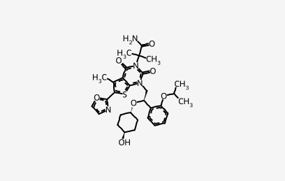 Cc1c(-c2ncco2)sc2c1c(=O)n(C(C)(C)C(N)=O)c(=O)n2C[C@H](O[C@H]1CC[C@H](O)CC1)c1ccccc1OC(C)C